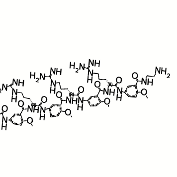 COc1ccc(NC(=O)[C@@H](CCCNC(=N)N)NC(=O)c2cc(NC(=O)[C@@H](CCCNC(=N)N)NC(=O)c3cc(NC(=O)[C@@H](CCCNC(=N)N)NC(=O)c4cc(NC(C)=O)ccc4OC)ccc3OC)ccc2OC)cc1C(=O)NCCN